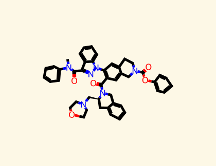 CN(C(=O)c1nn(-c2cc3c(cc2C(=O)N2Cc4ccccc4C[C@H]2CN2CCOCC2)CN(C(=O)Oc2ccccc2)CC3)c2ccccc12)c1ccccc1